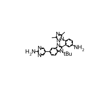 Cc1nc(C)n(-c2ccc(N)cc2-c2nc3cc(-c4cnc(N)nc4)ccc3n2C(C)(C)C)n1